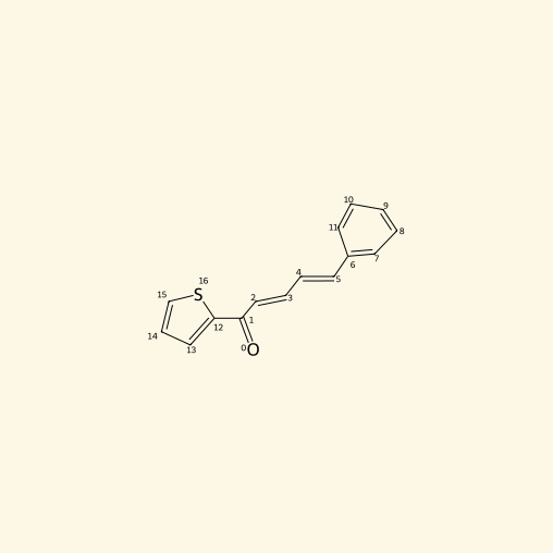 O=C(/C=C/C=C/c1ccccc1)c1cccs1